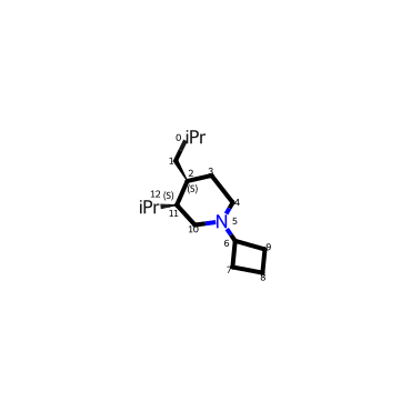 CC(C)C[C@H]1CCN(C2CCC2)C[C@H]1C(C)C